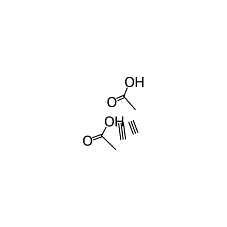 C#C.C#C.CC(=O)O.CC(=O)O